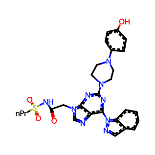 CCCS(=O)(=O)NC(=O)Cn1cnc2c(-n3ncc4ccccc43)nc(N3CCN(c4ccc(O)cc4)CC3)nc21